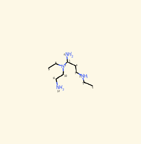 CCNCCC(N)N(CC)CCN